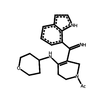 CC(=O)N1CCC(NC2CCOCC2)=C(C(=N)c2cccc3cc[nH]c23)C1